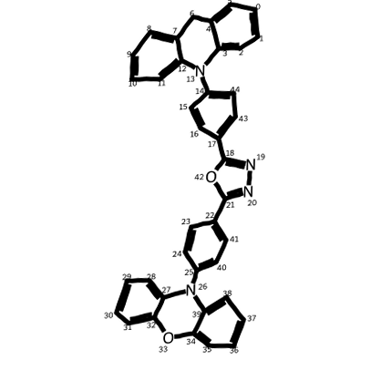 c1ccc2c(c1)Cc1ccccc1N2c1ccc(-c2nnc(-c3ccc(N4c5ccccc5Oc5ccccc54)cc3)o2)cc1